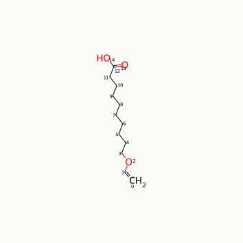 C=COCCCCCCCCCC(=O)O